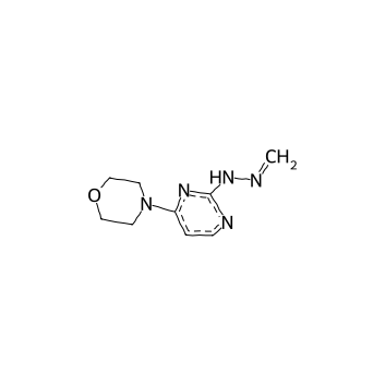 C=NNc1nccc(N2CCOCC2)n1